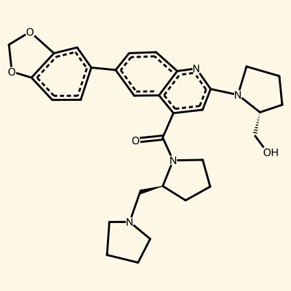 O=C(c1cc(N2CCC[C@@H]2CO)nc2ccc(-c3ccc4c(c3)OCO4)cc12)N1CCC[C@H]1CN1CCCC1